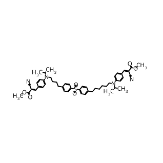 COC(=O)/C(C#N)=C/c1ccc(N(CCCCCCc2ccc(S(=O)(=O)c3ccc(CCCCN(c4ccc(/C=C(\C#N)C(=O)OC)cc4)C(C)C)cc3)cc2)C(C)C)cc1